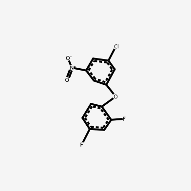 O=[N+]([O-])c1cc(Cl)cc(Oc2ccc(F)cc2F)c1